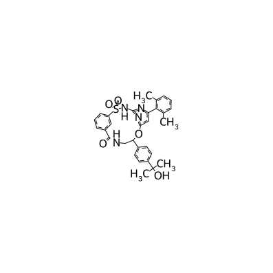 Cc1cccc(C)c1-c1cc2nc(n1)NS(=O)(=O)c1cccc(c1)C(=O)NCC(c1ccc(C(C)(C)O)cc1)O2